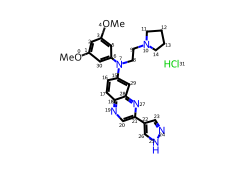 COc1cc(OC)cc(N(CCN2CCCC2)c2ccc3ncc(-c4cn[nH]c4)nc3c2)c1.Cl